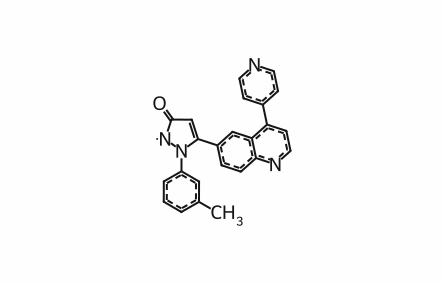 Cc1cccc(N2[N]C(=O)C=C2c2ccc3nccc(-c4ccncc4)c3c2)c1